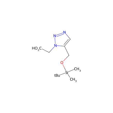 CC(C)(C)[Si](C)(C)OCc1cnnn1CC(=O)O